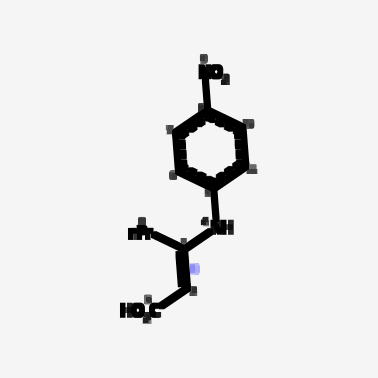 CCC/C(=C\C(=O)O)Nc1ccc([N+](=O)[O-])cc1